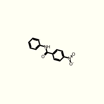 O=C(Nc1[c]cccc1)c1ccc([N+](=O)[O-])cc1